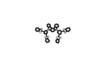 c1ccc2oc(-c3cc(-c4nc5ccccc5o4)cc(-n4c5ccccc5c5c6c7ccccc7n(-c7cc(-c8nc9ccccc9o8)cc(-c8nc9ccccc9o8)c7)c6ccc54)c3)nc2c1